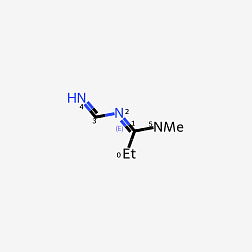 CC/C(=N\C=N)NC